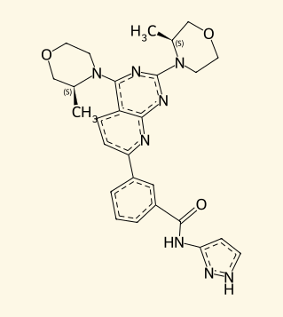 C[C@H]1COCCN1c1nc(N2CCOC[C@@H]2C)c2ccc(-c3cccc(C(=O)Nc4cc[nH]n4)c3)nc2n1